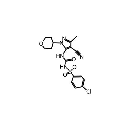 Cc1nn(C2CCOCC2)c(NC(=O)NS(=O)(=O)c2ccc(Cl)cc2)c1C#N